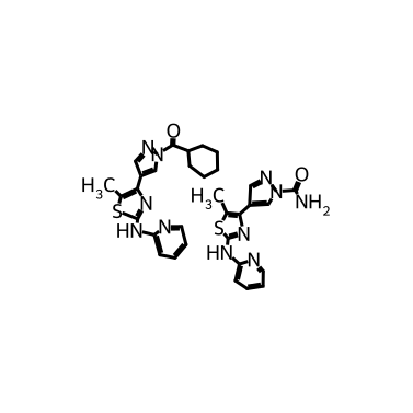 Cc1sc(Nc2ccccn2)nc1-c1cnn(C(=O)C2CCCCC2)c1.Cc1sc(Nc2ccccn2)nc1-c1cnn(C(N)=O)c1